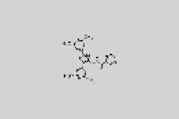 Cc1cc(-c2sc(N3C[C@@H](C)O[C@@H](C)C3)nc2CNC(=O)c2cnccn2)cc(C)n1